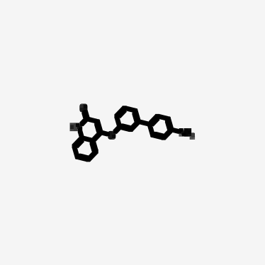 Nc1ccc(-c2cccc(Oc3cc(=O)[nH]c4ccccc34)c2)cc1